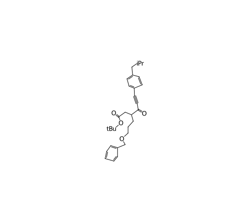 CC(C)Cc1ccc(C#CC(=O)C(CCCOCc2ccccc2)CC(=O)OC(C)(C)C)cc1